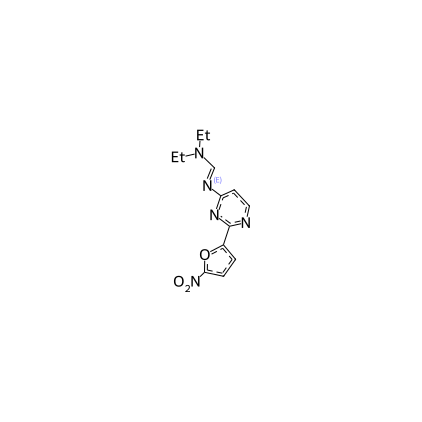 CCN(/C=N/c1ccnc(-c2ccc([N+](=O)[O-])o2)n1)CC